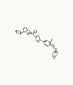 O=C(Cc1ccc(-c2ccc(OCCN3CCOCC3)c(F)c2)cc1)NCc1cccc(Cl)c1